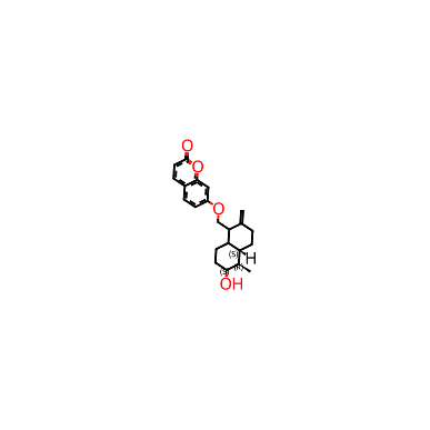 C=C1CC[C@H]2C(CC[C@H](O)[C@@H]2C)C1COc1ccc2ccc(=O)oc2c1